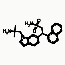 CC(C)(N)Cn1ccc2ccc(C(CS(N)(=O)=O)c3cccc4ccccc34)cc21